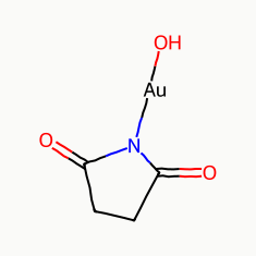 O=C1CCC(=O)[N]1[Au][OH]